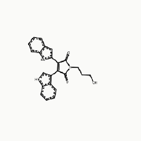 O=C1C(c2cc3ccccc3[nH]2)=C(c2c[nH]c3ccccc23)C(=O)N1CCCO